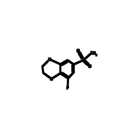 CS(=O)(=O)c1cc(F)c2c(c1)OCCO2